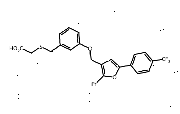 CC(C)c1oc(-c2ccc(C(F)(F)F)cc2)cc1COc1cccc(CSCC(=O)O)c1